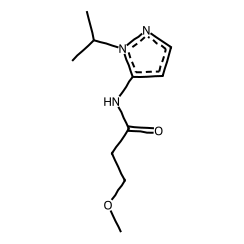 COCCC(=O)Nc1ccnn1C(C)C